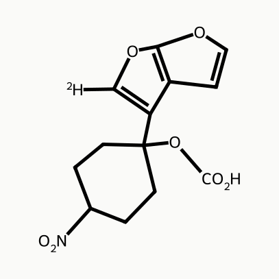 [2H]c1oc2occc2c1C1(OC(=O)O)CCC([N+](=O)[O-])CC1